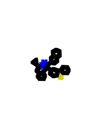 c1ccc2cc(-c3nn4c(C5CC5)cc5ccccc5c4c3-c3ccc4sc5ccccc5c4c3)ccc2c1